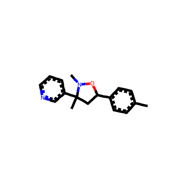 Cc1ccc(C2CC(C)(c3cccnc3)N(C)O2)cc1